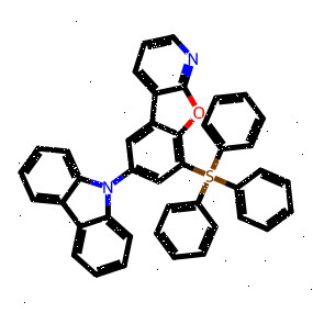 c1ccc(S(c2ccccc2)(c2ccccc2)c2cc(-n3c4ccccc4c4ccccc43)cc3c2oc2ncccc23)cc1